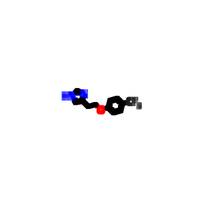 FC(F)(F)c1ccc(OCCc2c[nH]cn2)cc1